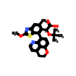 COc1nc2cc(C)c([C@H](OC(C)(C)C)C(=O)O)c(-c3ccc4c5c(ccnc35)CCO4)c2s1